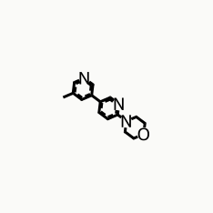 Cc1cncc(-c2ccc(N3CCOCC3)nc2)c1